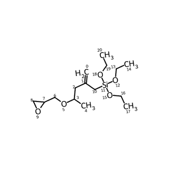 C=C(CC(C)OCC1CO1)C[Si](OCC)(OCC)OCC